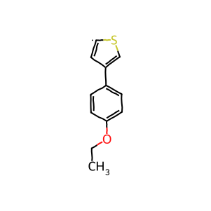 CCOc1ccc(-c2c[c]sc2)cc1